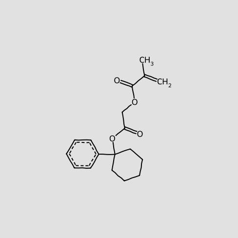 C=C(C)C(=O)OCC(=O)OC1(c2ccccc2)CCCCC1